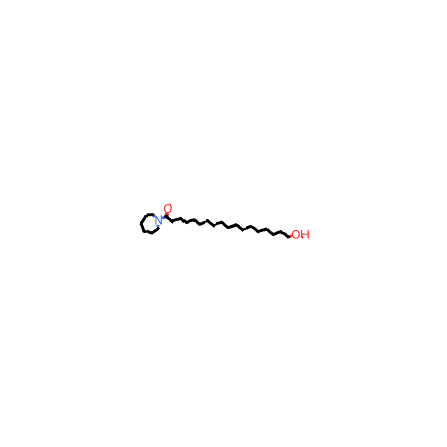 O=C(CCCCCCCCCCCCCCCCCO)N1CCCCCC1